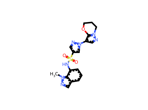 Cn1ncc2cccc(NS(=O)(=O)c3cnn(-c4cnn5c4OCCC5)c3)c21